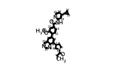 C=CC(=O)N1CCC(c2cc(-c3ccc(C(=O)Nc4cc(C5CC5)ccn4)cc3OC)cc3cncnc23)C1